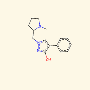 CN1CCCC1Cn1cc(-c2ccccc2)c(O)n1